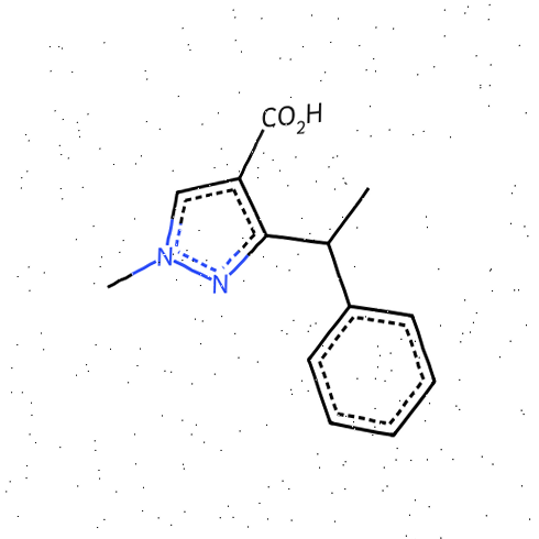 CC(c1ccccc1)c1nn(C)cc1C(=O)O